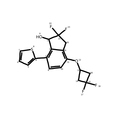 OC1c2c(-c3cccs3)ccc(OC3CC(F)(F)C3)c2CC1(F)F